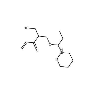 C=CC(=O)C(CO)COC(CC)[SiH]1CCCCO1